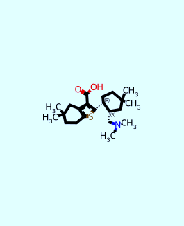 CN(C)C[C@H]1CC(C)(C)CC[C@H]1c1sc2c(c1C(=O)O)CC(C)(C)CC2